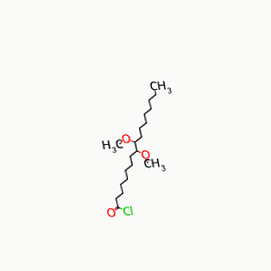 CCCCCCCCC(OC)C(CCCCCCCC(=O)Cl)OC